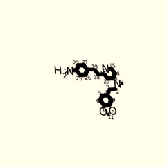 CN(CCc1ccc2c(c1)OCO2)c1ccnc(/C=C/c2ccc(N)cc2)c1